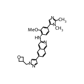 COc1cc(-c2cnc(C)n2C)ccc1Nc1cc2cc(-c3cnn(CC4COC4)c3)ccc2cn1